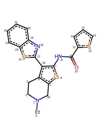 CCN1CCc2c(sc(NC(=O)c3cccs3)c2-c2nc3ccccc3s2)C1